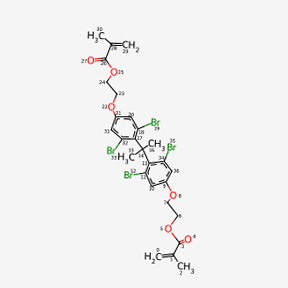 C=C(C)C(=O)OCCOc1cc(Br)c(C(C)(C)c2c(Br)cc(OCCOC(=O)C(=C)C)cc2Br)c(Br)c1